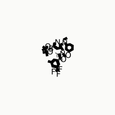 CCN(c1ncc(B2OC(C)(C)C(C)(C)O2)cc1CN1C(=O)O[C@H](c2cc(C)cc(C(F)(F)F)c2)[C@@H]1C)C1CCCCC1